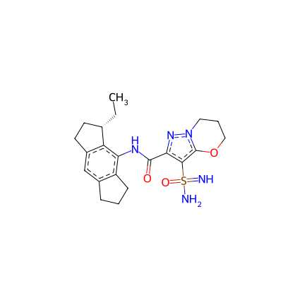 CC[C@H]1CCc2cc3c(c(NC(=O)c4nn5c(c4S(=N)(N)=O)OCCC5)c21)CCC3